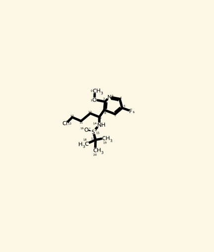 COc1ncc(F)cc1C(CCCCl)N[S@@+]([O-])C(C)(C)C